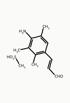 CS(=O)(=O)O.Cc1cc(C=CC=O)c(C)c(C)c1N